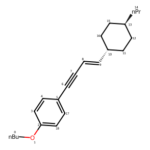 CCCCOc1ccc(C#CC=C[C@H]2CC[C@H](CCC)CC2)cc1